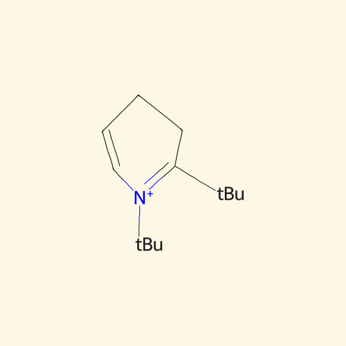 CC(C)(C)C1=[N+](C(C)(C)C)C=CCC1